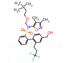 Cc1noc(N(COCC[Si](C)(C)C)S(=O)(=O)c2ccccc2-c2ccc(CO)cc2CCC(F)(F)F)c1C